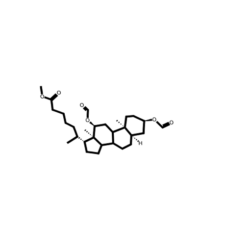 COC(=O)CCCCC(C)[C@H]1CCC2C3CC[C@@H]4C[C@H](OC=O)CC[C@]4(C)C3C[C@H](OC=O)[C@@]21C